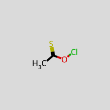 CC(=S)OCl